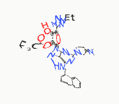 CCn1nnc([C@H]2O[C@@H](n3cnc4c(NCc5cccc6ccccc56)nc(N5CC[C@@H](N(C)C)C5)nc43)[C@H](OC(=O)C(F)(F)F)[C@@H]2O)n1